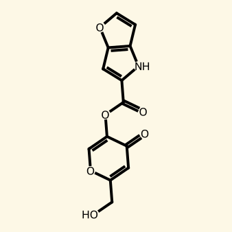 O=C(Oc1coc(CO)cc1=O)c1cc2occc2[nH]1